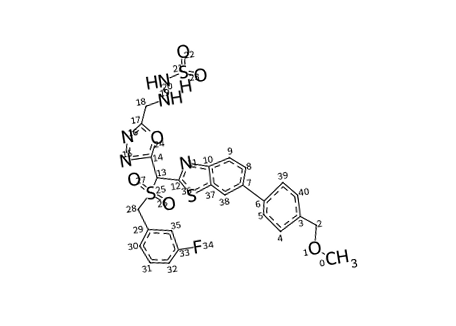 COCc1ccc(-c2ccc3nc(C(c4nnc(CNN[SH](=O)=O)o4)S(=O)(=O)Cc4cccc(F)c4)sc3c2)cc1